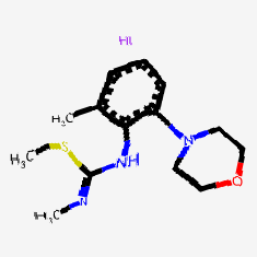 C/N=C(/Nc1c(C)cccc1N1CCOCC1)SC.I